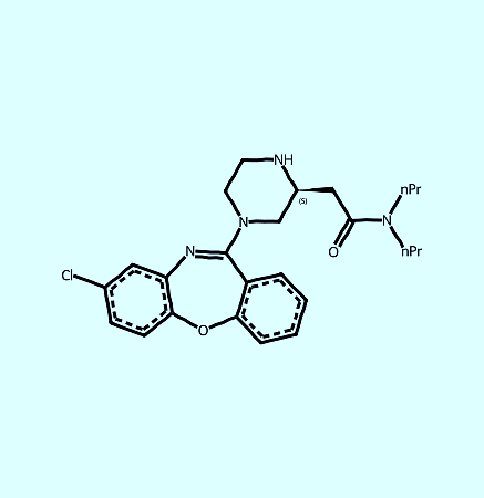 CCCN(CCC)C(=O)C[C@H]1CN(C2=Nc3cc(Cl)ccc3Oc3ccccc32)CCN1